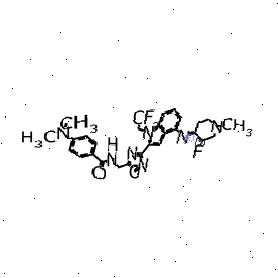 CN1CC/C(=N\c2cccc3c2cc(-c2noc(CNC(=O)c4ccc(N(C)C)cc4)n2)n3CC(F)(F)F)[C@@H](F)C1